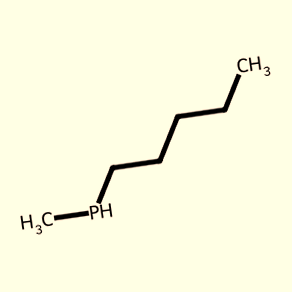 CCCCCPC